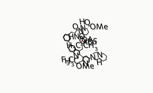 COC(=O)[C@@H]1CCCN(C(=O)[C@H](Cc2cccc(-c3ccc4c(c3)c(CC(C)(C)COC(C)=O)c(-c3cc(N5CCN6CCCC[C@@H]6C5)cnc3[C@H](C)OC)n4CC(F)(F)F)c2)NC(=O)OC(C)(C)C)N1